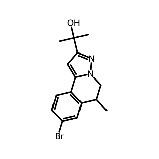 CC1Cn2nc(C(C)(C)O)cc2-c2ccc(Br)cc21